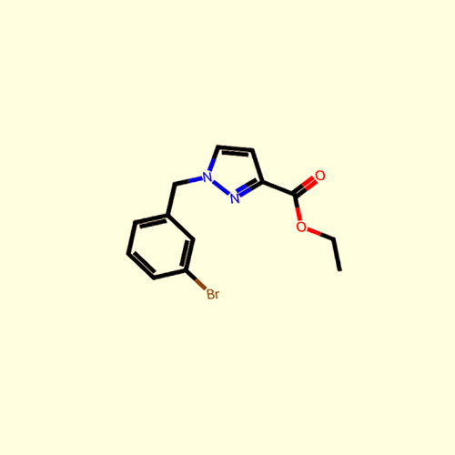 CCOC(=O)c1ccn(Cc2cccc(Br)c2)n1